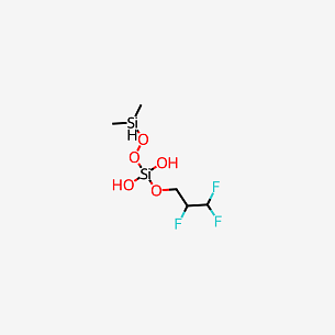 C[SiH](C)OO[Si](O)(O)OCC(F)C(F)F